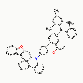 Cc1cc(C)c(B(c2ccccc2C)c2ccc3c4c(cccc24)Oc2cc(N(c4ccc5c(c4)oc4ccccc45)c4ccccc4-c4ccccc4)ccc2-3)c(C)c1